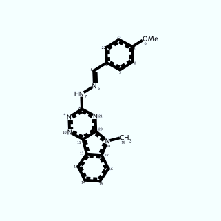 COc1ccc(/C=N/Nc2nnc3c4ccccc4n(C)c3n2)cc1